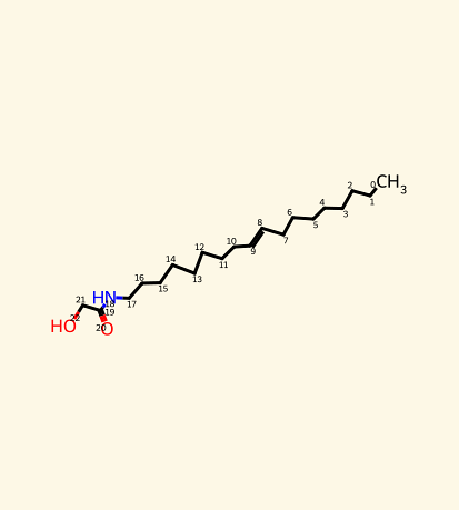 CCCCCCCCC=CCCCCCCCCNC(=O)CO